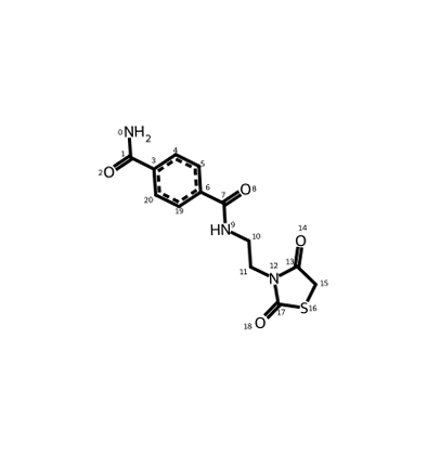 NC(=O)c1ccc(C(=O)NCCN2C(=O)CSC2=O)cc1